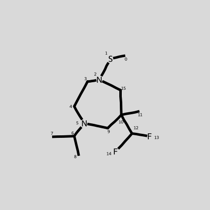 CSN1CCN(C(C)C)CC(C)(C(F)F)C1